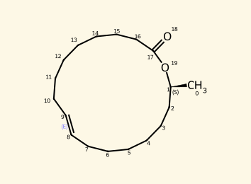 C[C@H]1CCCCCC/C=C/CCCCCCCC(=O)O1